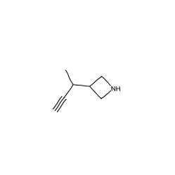 C#CC(C)C1CNC1